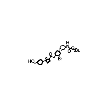 CC(C)(C)OC(=O)N[C@H]1CCN(c2ccc(CC(=O)c3ccc(-c4ccc(CO)cc4)s3)c(Br)c2)C1